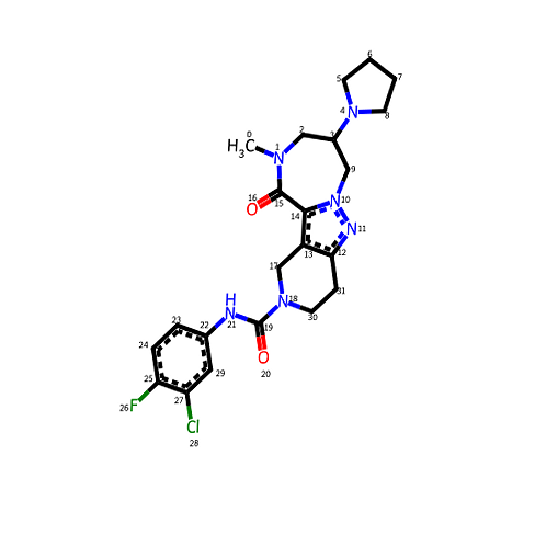 CN1CC(N2CCCC2)Cn2nc3c(c2C1=O)CN(C(=O)Nc1ccc(F)c(Cl)c1)CC3